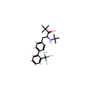 CC(C)(C)NC(Cc1ccc(-c2ccccc2C(F)(F)F)cc1)C(=O)C(C)(C)C